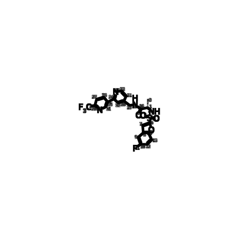 C[C@H](NS(=O)(=O)c1cc2cc(F)ccc2o1)C(=O)NCc1ccnc(-c2ccc(C(F)(F)F)nc2)c1